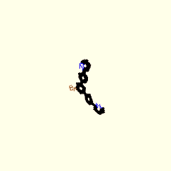 Brc1cc(-c2ccc(-c3ccccn3)cc2)cc(-c2ccc(-c3ccccn3)cc2)c1